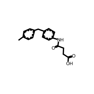 Cc1ccc(Cc2ccc(NC(=O)CCC(=O)O)cc2)cc1